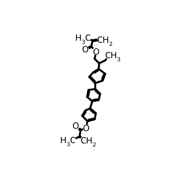 C=C(C)C(=O)OCC(CC)c1ccc(-c2ccc(-c3ccc(OC(=O)C(=C)C)cc3)cc2)cc1